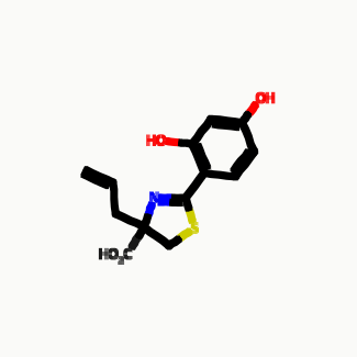 C=CCC1(C(=O)O)CSC(c2ccc(O)cc2O)=N1